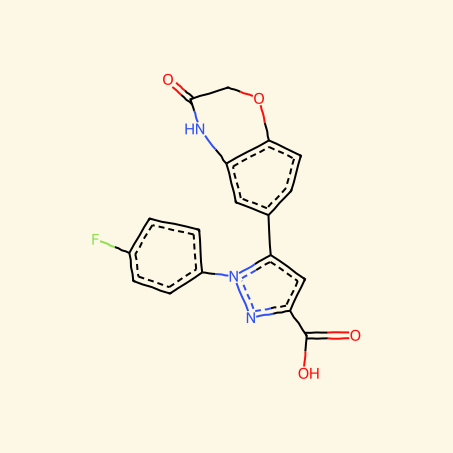 O=C1COc2ccc(-c3cc(C(=O)O)nn3-c3ccc(F)cc3)cc2N1